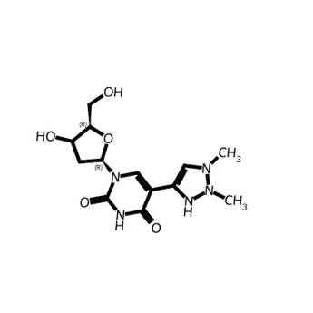 CN1C=C(c2cn([C@H]3CC(O)[C@@H](CO)O3)c(=O)[nH]c2=O)NN1C